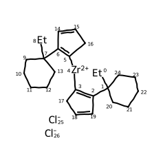 CCC1(C2=[C]([Zr+2][C]3=C(C4(CC)CCCCC4)C=CC3)CC=C2)CCCCC1.[Cl-].[Cl-]